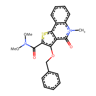 CON(OC)C(=O)c1sc2c(c1OCc1ccccc1)c(=O)n(C)c1ccccc21